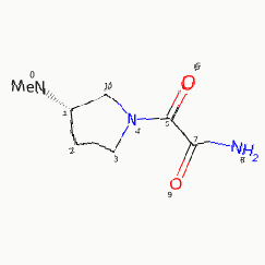 CN[C@H]1CCN(C(=O)C(N)=O)C1